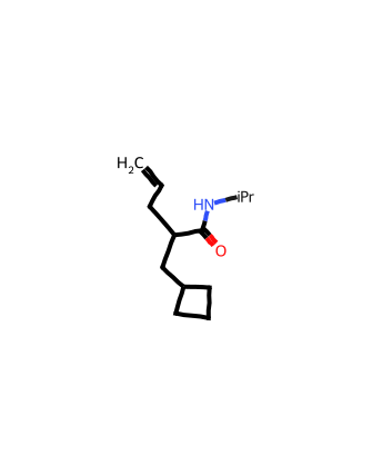 C=CCC(CC1CCC1)C(=O)NC(C)C